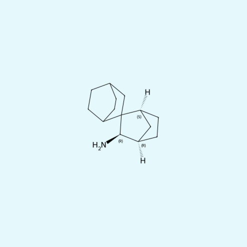 N[C@@H]1[C@@H]2CC[C@@H](C2)C12CC1CCC2CC1